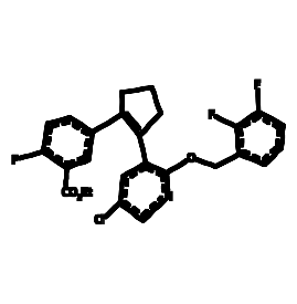 CCOC(=O)c1cc(C2=C(c3cc(Cl)cnc3OCc3cccc(F)c3F)CCC2)ccc1F